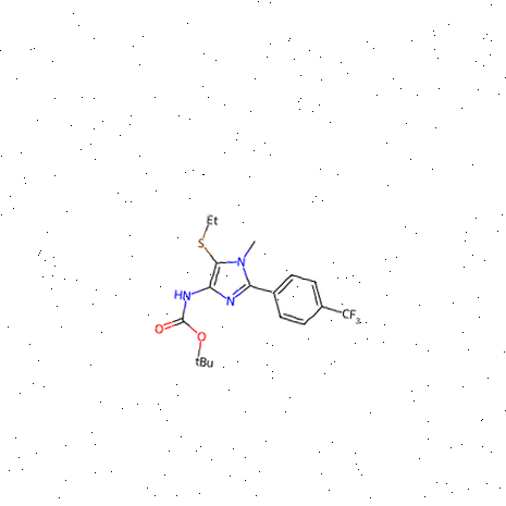 CCSc1c(NC(=O)OC(C)(C)C)nc(-c2ccc(C(F)(F)F)cc2)n1C